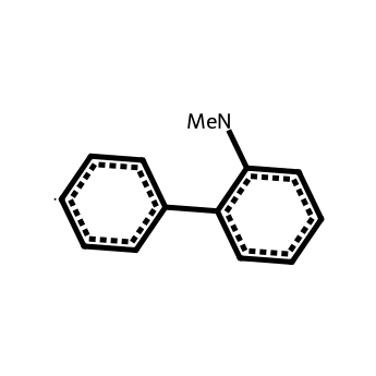 CNc1ccccc1-c1cc[c]cc1